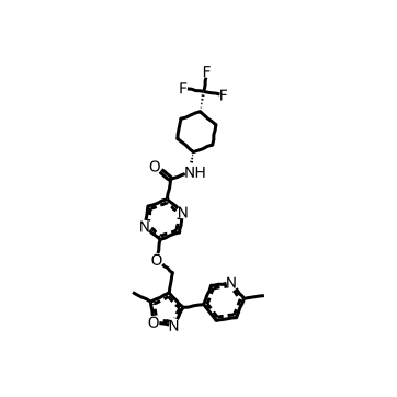 Cc1ccc(-c2noc(C)c2COc2cnc(C(=O)N[C@H]3CC[C@@H](C(F)(F)F)CC3)cn2)cn1